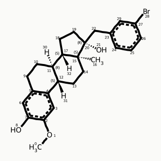 COc1cc2c(cc1O)CC[C@@H]1[C@@H]2CC[C@@]2(C)[C@H]1CC[C@@]2(O)Cc1cccc(Br)c1